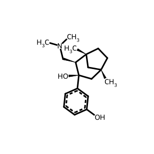 CN(C)C[C@H]1[C@]2(C)CC[C@@](C)(C2)C[C@]1(O)c1cccc(O)c1